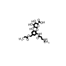 CCC(=O)OCc1ccc(O[C@@H]2O[C@H](C(=O)O)[C@@H](O)[C@H](O)[C@H]2O)c(NC(=O)CCNC)c1